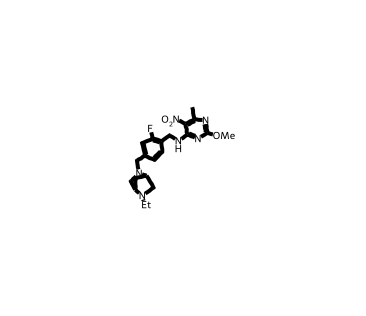 CCN1CC2CC1CN2Cc1ccc(CNc2nc(OC)nc(C)c2[N+](=O)[O-])c(F)c1